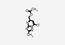 CC(=O)OCc1cc(Cl)n2nc(C)nc2n1